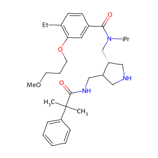 CCc1ccc(C(=O)N(C[C@@H]2CNCC2CNC(=O)C(C)(C)c2ccccc2)C(C)C)cc1OCCCOC